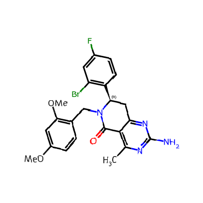 COc1ccc(CN2C(=O)c3c(C)nc(N)nc3C[C@@H]2c2ccc(F)cc2Br)c(OC)c1